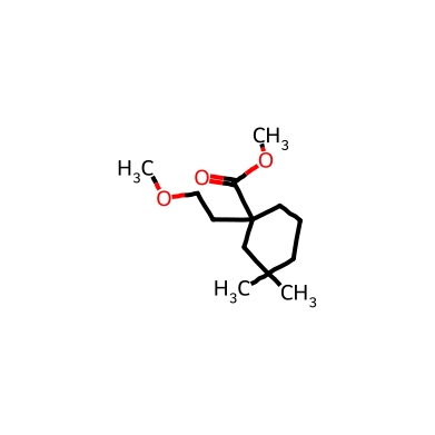 COCCC1(C(=O)OC)CCCC(C)(C)C1